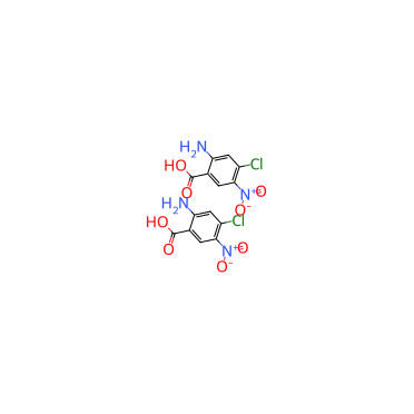 Nc1cc(Cl)c([N+](=O)[O-])cc1C(=O)O.Nc1cc(Cl)c([N+](=O)[O-])cc1C(=O)O